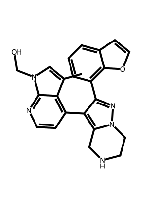 Cc1cn(CO)c2nccc(-c3c(-c4cccc5ccoc45)nn4c3CNCC4)c12